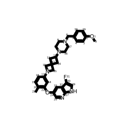 COc1ccc(CN2CCN(C3CC4(C3)CN(c3ccc(C)c(Oc5cnc6[nH]cc(F)c6c5)c3)C4)CC2)cc1